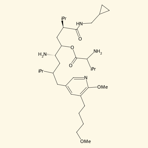 COCCCCc1cc(CC(C[C@H](N)C(C[C@H](C(=O)NCC2CC2)C(C)C)OC(=O)C(N)C(C)C)C(C)C)cnc1OC